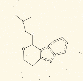 CN(C)CCC1OCCc2sc3ccccc3c21